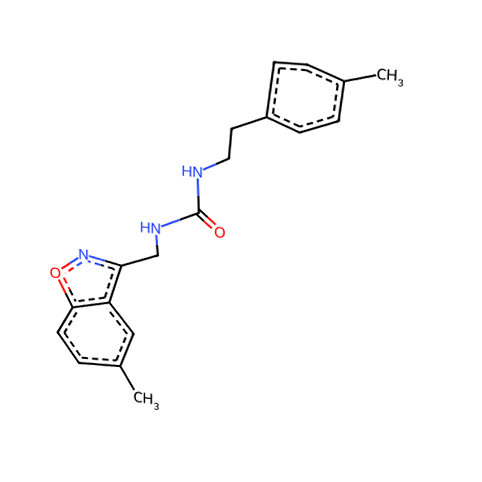 Cc1ccc(CCNC(=O)NCc2noc3ccc(C)cc23)cc1